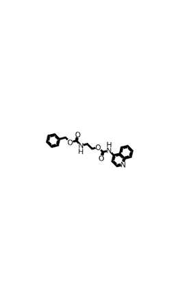 O=C(NCCOC(=O)Nc1ccnc2ccccc12)OCc1ccccc1